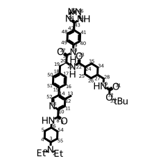 CCN(CC)C1CCC(NC(=O)c2cc(C)c(-c3ccc(C[C@H](NC(=O)C4CCC(CNC(=O)OC(C)(C)C)CC4)C(=O)Nc4ccc(-c5nnn[nH]5)cc4)cc3)cn2)CC1